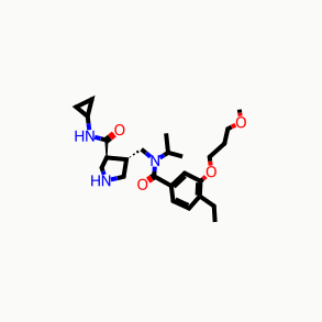 CCc1ccc(C(=O)N(C[C@@H]2CNC[C@H]2C(=O)NC2CC2)C(C)C)cc1OCCCOC